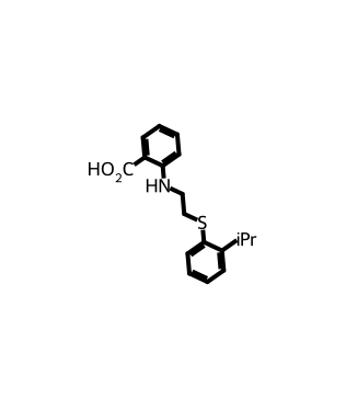 CC(C)c1ccccc1SCCNc1ccccc1C(=O)O